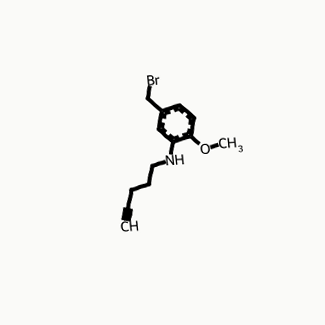 C#CCCCNc1cc(CBr)ccc1OC